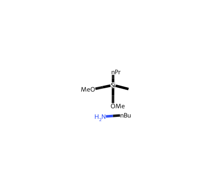 CCCCN.CCC[Si](C)(OC)OC